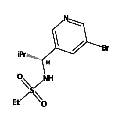 CCS(=O)(=O)N[C@@H](c1cncc(Br)c1)C(C)C